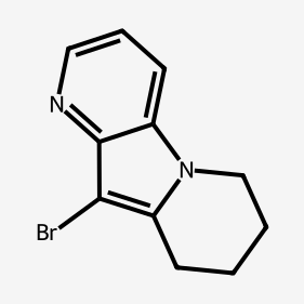 Brc1c2n(c3cccnc13)CCCC2